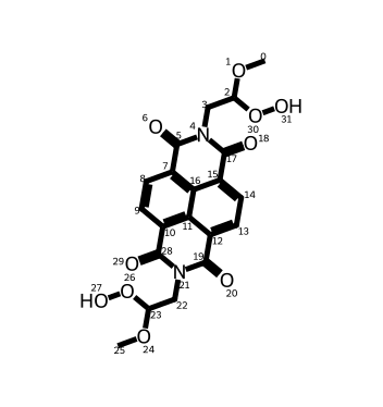 COC(CN1C(=O)c2ccc3c4c(ccc(c24)C1=O)C(=O)N(CC(OC)OO)C3=O)OO